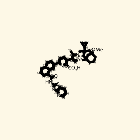 COC12CCCC(C)(C1)CC(Cn1ncc(-c3ccc(-c4ccc5cccc(C(=O)Nc6nc7ncccc7s6)c5c4)nc3C(=O)O)c1C)(C1CC1)C2